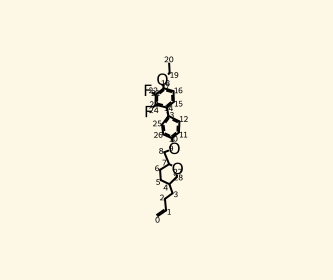 C=CCCC1CCC(COc2ccc(-c3ccc(OCC)c(F)c3F)cc2)OC1